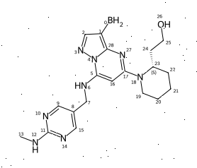 Bc1cnn2c(NCc3cnc(NC)nc3)cc(N3CCCC[C@H]3CCO)nc12